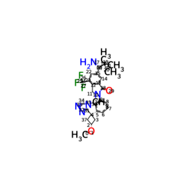 CO[C@H]1C[C@](c2cccc(N3Cc4c(cc([C@H](N)C(C)(C)C)cc4C(F)(F)F)C3=O)c2)(c2nncn2C)C1